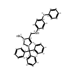 CCCCN1CN(C(c2ccccc2)(c2ccccc2)c2ccccc2)C=C1CNc1ccc(Sc2ccccc2)cc1